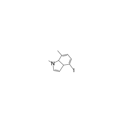 CC1=CC=C(I)C2C=CN(C)C12